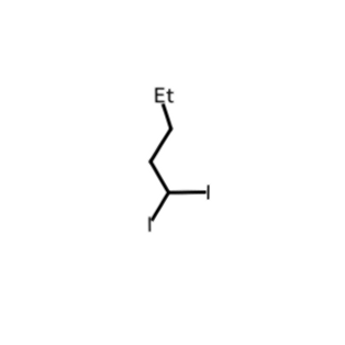 [CH2]CCCC(I)I